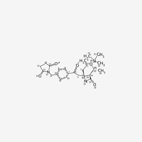 C=CC[C@]1(CC(=O)c2ccc(CN3C(=O)CCC3=O)cc2)[N]C(=O)[C@@H]1[C@@H](C)O[Si](C)(C)C